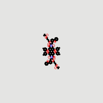 C=C(C)C(=O)OCCCCOC(=O)C(Cc1cccc2c1oc1ccccc12)N1C(=O)c2cc(Oc3ccc(C)cc3)c3c4c(Oc5ccc(C)cc5)cc5c6c(cc(Oc7ccc(C)cc7)c(c7c(Oc8ccc(C)cc8)cc(c2c37)C1=O)c64)C(=O)N(C(Cc1cccc2c1oc1ccccc12)C(=O)OCCCCOC(=O)C(=C)C)C5=O